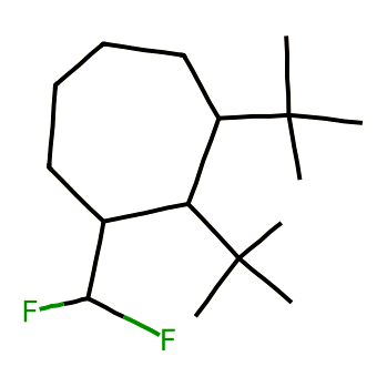 CC(C)(C)C1CCCCC(C(F)F)C1C(C)(C)C